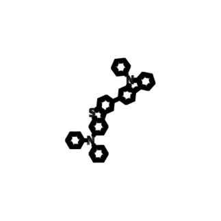 c1ccc(N(c2ccccc2)c2ccc3c(c2)sc2ccc(-c4ccc5c6ccccc6n(-c6ccccc6)c5c4)cc23)cc1